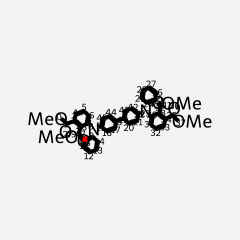 COC(=O)c1cccc(N(c2ccccc2)c2ccc(-c3ccc(N(c4ccccc4)c4cccc(C(=O)OC)c4C(=O)OC)cc3)cc2)c1C(=O)OC